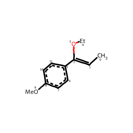 CC=C(OCC)c1ccc(OC)cc1